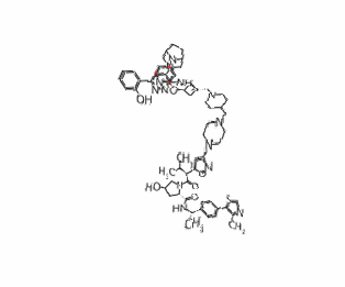 Cc1ncsc1-c1ccc([C@H](C)NC(=O)[C@@H]2C[C@@H](O)CN2C(=O)[C@H](c2cc(N3CCN(CC4CCN(C[C@H]5C[C@H](Oc6cc(N7C8CCC7CN(c7cc(-c9ccccc9O)nnc7N)C8)ccn6)C5)CC4)CC3)no2)C(C)C)cc1